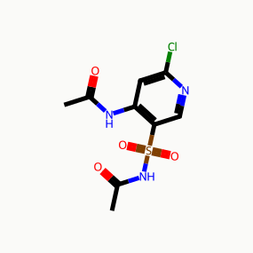 CC(=O)Nc1cc(Cl)ncc1S(=O)(=O)NC(C)=O